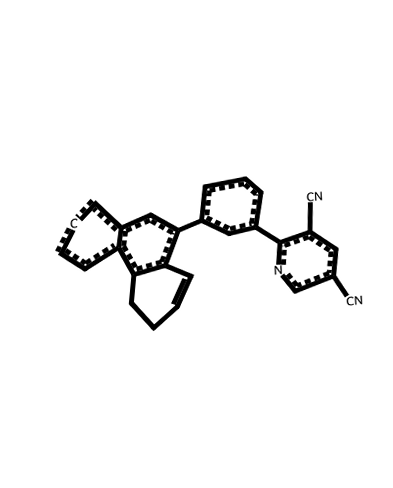 N#Cc1cnc(-c2cccc(-c3cc4ccccc4c4c3C=CCC4)c2)c(C#N)c1